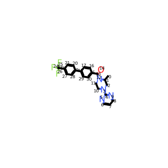 CC1CN(c2ncccn2)CCN1C(=O)c1ccc(-c2ccc(C(F)(F)F)cc2)cc1